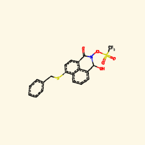 O=C1c2ccc(SCc3ccccc3)c3cccc(c23)C(O)N1OS(=O)(=O)C(F)(F)F